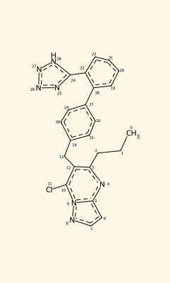 CCCc1nc2ccnn2c(Cl)c1Cc1ccc(-c2ccccc2-c2nnn[nH]2)cc1